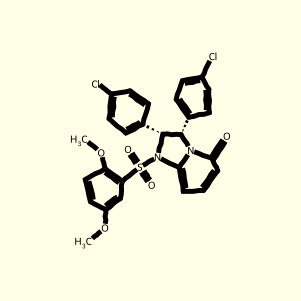 COc1ccc(OC)c(S(=O)(=O)N2c3cccc(=O)n3[C@@H](c3ccc(Cl)cc3)[C@H]2c2ccc(Cl)cc2)c1